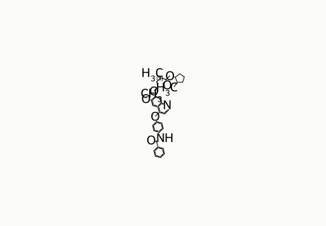 COc1cc2c(Oc3ccc(NC(=O)c4ccccc4)cc3)ccnc2cc1OCC[C@H](C)C(=O)OC1CCCC1C